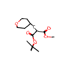 COC(=O)C(CC1CCOCC1)C(=O)OC(C)(C)C